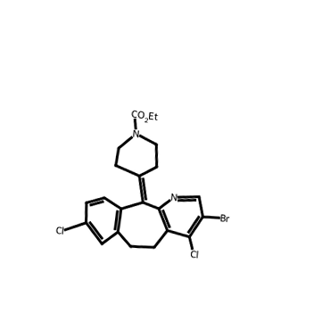 CCOC(=O)N1CCC(=C2c3ccc(Cl)cc3CCc3c2ncc(Br)c3Cl)CC1